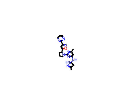 Cc1cc(Nc2cc(C)nc(N3CCCC3c3cc(-c4ncccn4)no3)n2)[nH]n1